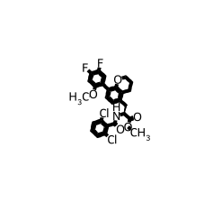 COC(=O)[C@H](Cc1ccc(-c2cc(F)c(F)cc2OC)c2c1CCCO2)NC(=O)c1c(Cl)cccc1Cl